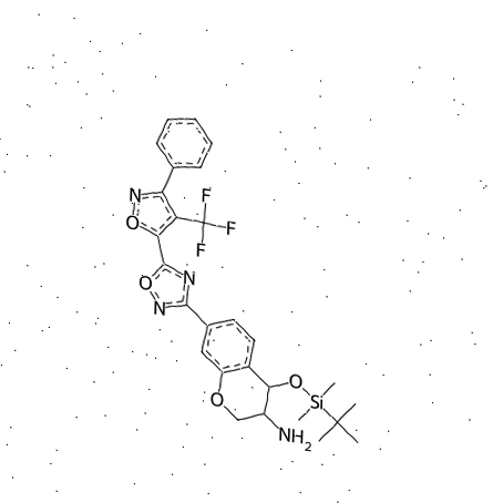 CC(C)(C)[Si](C)(C)OC1c2ccc(-c3noc(-c4onc(-c5ccccc5)c4C(F)(F)F)n3)cc2OCC1N